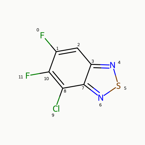 Fc1cc2nsnc2c(Cl)c1F